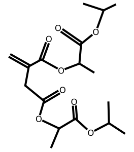 C=C(CC(=O)OC(C)C(=O)OC(C)C)C(=O)OC(C)C(=O)OC(C)C